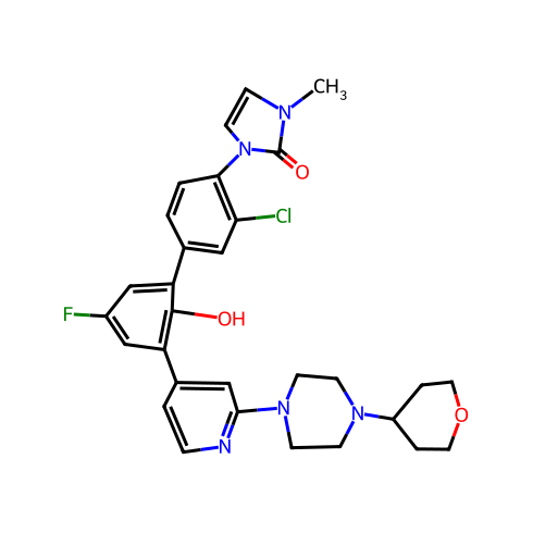 Cn1ccn(-c2ccc(-c3cc(F)cc(-c4ccnc(N5CCN(C6CCOCC6)CC5)c4)c3O)cc2Cl)c1=O